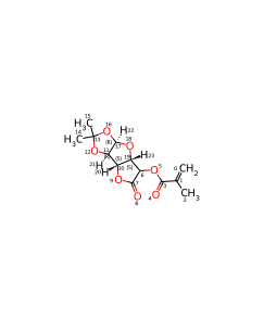 C=C(C)C(=O)OC1C(=O)O[C@@H]2[C@H]3OC(C)(C)O[C@H]3O[C@H]12